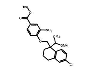 COC(OC)C1(COc2ccc(C(=O)OC(C)(C)C)cc2[N+](=O)[O-])CCCc2cc(Cl)ccc21